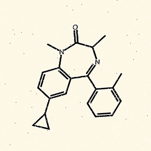 Cc1ccccc1C1=NC(C)C(=O)N(C)c2ccc(C3CC3)cc21